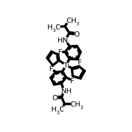 CC(C)C(=O)Nc1ccc(F)[c]([Ti]([C]2=CC=CC2)([C]2=CC=CC2)[c]2c(F)ccc(NC(=O)C(C)C)c2F)c1F